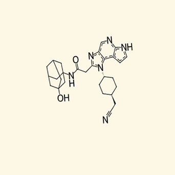 N#CC[C@H]1CC[C@H](n2c(CC(=O)NC34CC5CC(CC(O)(C5)C3)C4)nc3cnc4[nH]ccc4c32)CC1